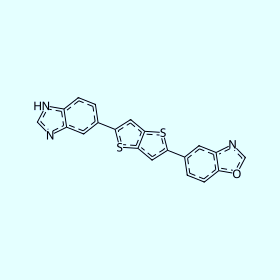 c1nc2cc(-c3cc4sc(-c5ccc6ocnc6c5)cc4s3)ccc2[nH]1